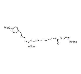 CCCCC/C=C\COC(=O)CCCCCCCCCC(CCCCCCCCC)CCOCc1ccc(OC)cc1